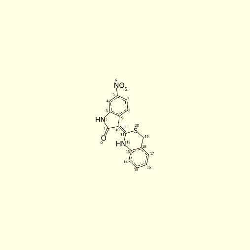 O=C1Nc2cc([N+](=O)[O-])ccc2/C1=C1/Nc2ccccc2CS1